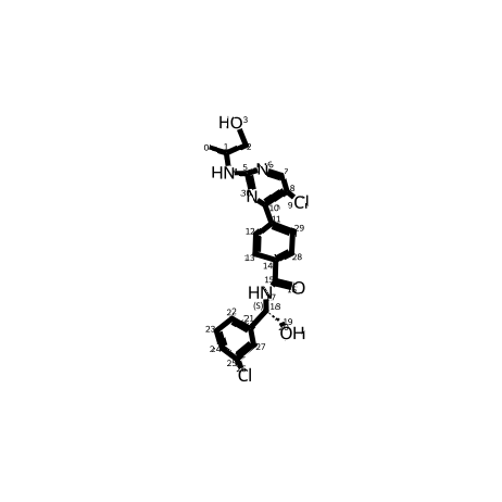 CC(CO)Nc1ncc(Cl)c(-c2ccc(C(=O)N[C@H](CO)c3cccc(Cl)c3)cc2)n1